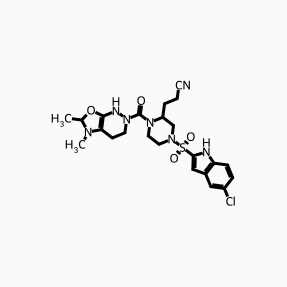 CC1OC2=C(CCN(C(=O)N3CCN(S(=O)(=O)c4cc5cc(Cl)ccc5[nH]4)CC3CCC#N)N2)N1C